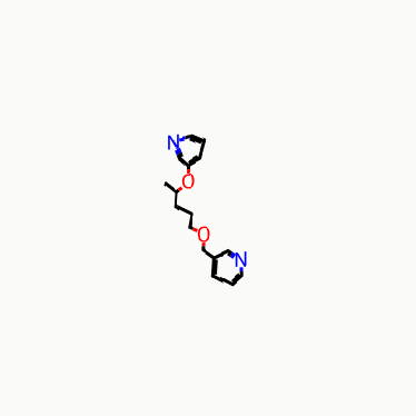 CC(CCCOCc1cccnc1)Oc1cccnc1